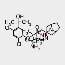 CC(C)(Oc1cc(C(C)(C)O)c(Cl)cc1Cl)C(=O)NC1CC2CCC(C1)N2c1ccc(C(N)=O)cn1